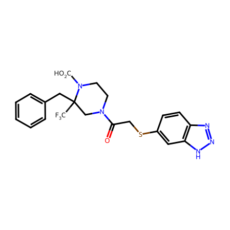 O=C(CSc1ccc2nn[nH]c2c1)N1CCN(C(=O)O)C(Cc2ccccc2)(C(F)(F)F)C1